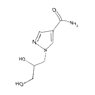 NC(=O)c1cnn(CC(O)CO)c1